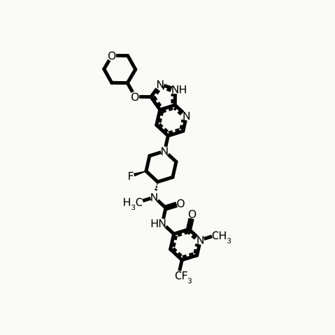 CN(C(=O)Nc1cc(C(F)(F)F)cn(C)c1=O)[C@H]1CCN(c2cnc3[nH]nc(OC4CCOCC4)c3c2)C[C@@H]1F